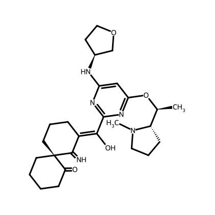 C[C@H](Oc1cc(N[C@H]2CCOC2)nc(/C(O)=C2\CCC[C@@]3(CCCCC3=O)C2=N)n1)[C@@H]1CCCN1C